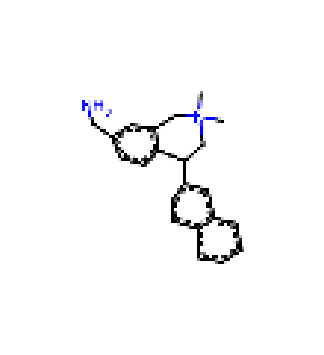 C[N+]1(C)Cc2cc(CN)ccc2C(c2ccc3ccccc3c2)C1